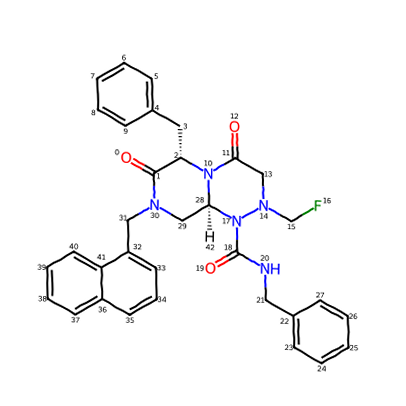 O=C1[C@H](Cc2ccccc2)N2C(=O)CN(CF)N(C(=O)NCc3ccccc3)[C@H]2CN1Cc1cccc2ccccc12